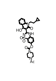 CC(=O)N1CCN(C(=O)Oc2ccc3c(c2)S(=O)(=O)N=C(c2c(O)c4ccccc4n(CCC4CC4)c2=O)N3)CC1